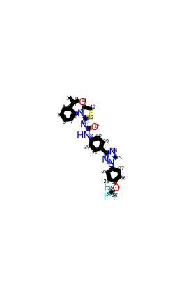 CC(C)c1ccccc1N1C(=O)CS/C1=N\C(=O)Nc1ccc(-c2ncn(-c3ccc(OC(F)(F)F)cc3)n2)cc1